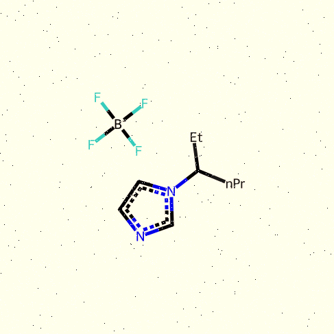 CCCC(CC)n1ccnc1.F[B-](F)(F)F